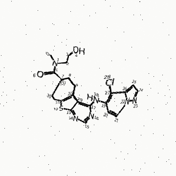 CN(CCO)C(=O)[C@H]1CCc2c(sc3ncnc(Nc4ccn5nccc5c4Cl)c23)C1